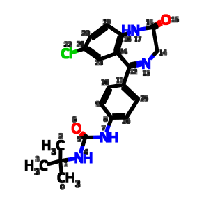 CC(C)(C)NC(=O)Nc1ccc(C2=NCC(=O)Nc3ccc(Cl)cc32)cc1